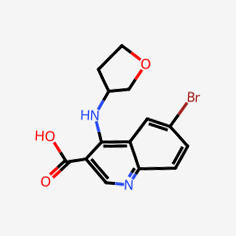 O=C(O)c1cnc2ccc(Br)cc2c1NC1CCOC1